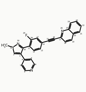 Cn1cc(-c2ccncc2)c(-c2ccc(C#Cc3ccc4ccccc4n3)cc2F)n1